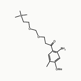 Bc1cc(OC)c(C)cc1C(=O)CCOCOCC[Si](C)(C)C